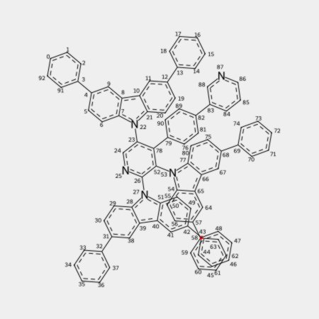 c1ccc(-c2ccc3c(c2)c2cc(-c4ccccc4)ccc2n3-c2cnc(-n3c4ccc(-c5ccccc5)cc4c4cc(-c5ccccc5)ccc43)c(-n3c4ccc(-c5ccccc5)cc4c4cc(-c5ccccc5)ccc43)c2-c2ccc(-c3cccnc3)cc2)cc1